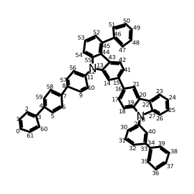 c1ccc(-c2ccc(-c3ccc(-n4c5cc(-c6ccc7c(c6)c6ccccc6n7-c6cccc(-c7ccccc7)c6)ccc5c5c(-c6ccccc6)cccc54)cc3)cc2)cc1